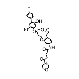 CCc1cc(-c2ccc(F)cc2)c(O)cc1OCCCOc1cc(NC(=O)CCCC(=O)N2CCOCC2)ccc1CCC(=O)O